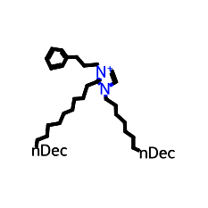 CCCCCCCCCCCCCCCCCCCc1n(CCCCCCCCCCCCCCCCC)cc[n+]1CCCc1ccccc1